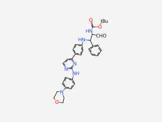 CC(C)(C)OC(=O)NC(C=O)C(Nc1ccc(-c2ccnc(Nc3ccc(N4CCOCC4)cc3)n2)cc1)c1ccccc1